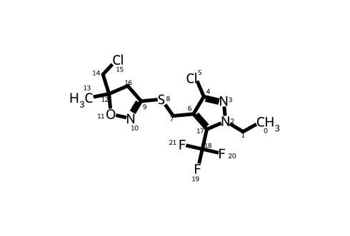 CCn1nc(Cl)c(CSC2=NOC(C)(CCl)C2)c1C(F)(F)F